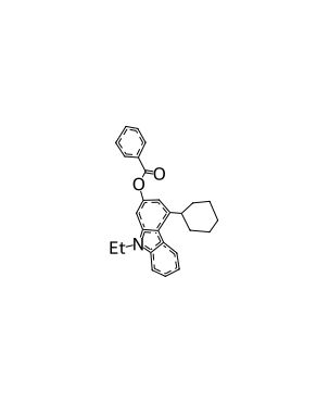 CCn1c2ccccc2c2c(C3CCCCC3)cc(OC(=O)c3ccccc3)cc21